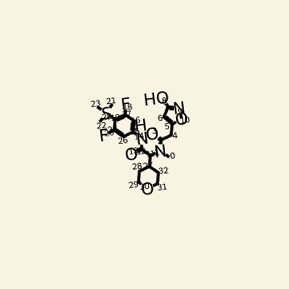 CN(C(=O)Cc1cc(O)no1)C(C(=O)Nc1cc(F)c(S(C)(C)C)c(F)c1)C1CCOCC1